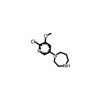 COc1cc(N2CCCNCC2)cnc1Cl